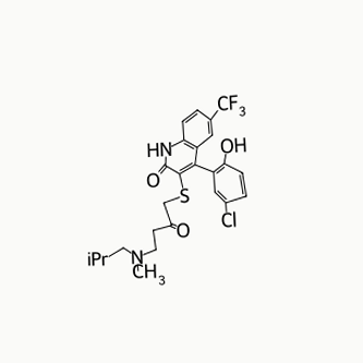 CC(C)CN(C)CCC(=O)CSc1c(-c2cc(Cl)ccc2O)c2cc(C(F)(F)F)ccc2[nH]c1=O